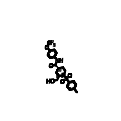 Cc1ccc(S(=O)(=O)N2CC[C@@H](C(=O)Nc3ccc(OC(F)(F)F)cc3)C[C@@H]2CO)cc1